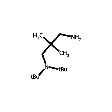 CC(C)(CN)CN(C(C)(C)C)C(C)(C)C